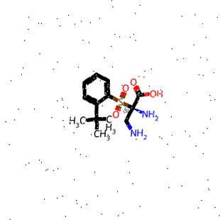 CC(C)(C)c1ccccc1S(=O)(=O)[C@@](N)(CN)C(=O)O